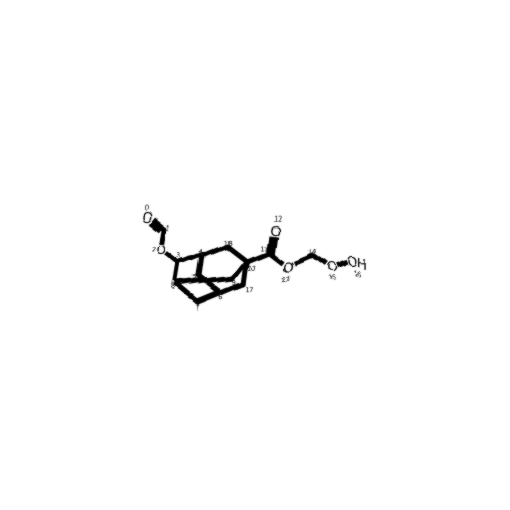 O=COC1C2CC3CC1CC(C(=O)OCOO)(C3)C2